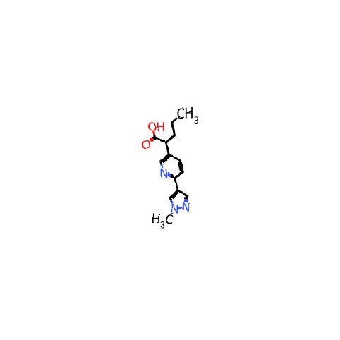 CCCC(C(=O)O)c1ccc(-c2cnn(C)c2)nc1